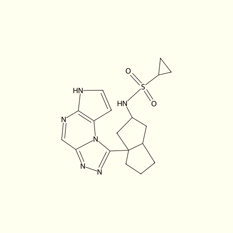 O=S(=O)(NC1CC2CCCC2(c2nnc3cnc4[nH]ccc4n23)C1)C1CC1